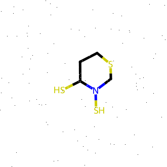 SC1CCSCN1S